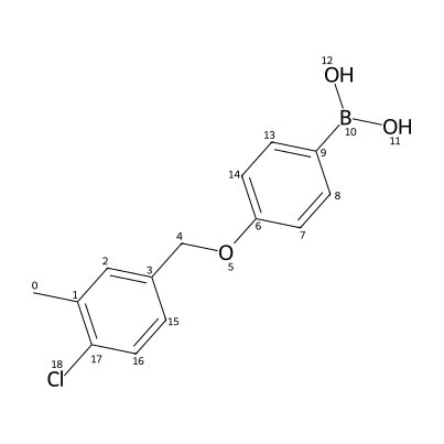 Cc1cc(COc2ccc(B(O)O)cc2)ccc1Cl